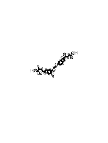 COc1cc2sc(C(=O)CC(C)C(=O)O)cc2cc1OCCOc1ccc2cc(C(=O)CCC(=O)O)sc2c1